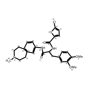 COc1ccc(CC(NC(=O)c2ccc(Cl)s2)C(=O)Nc2ccc3c(c2)CCN(C)CC3)cc1OC